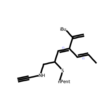 C#CNCC(/C=C(\C=C\C)C(=C)C(C)CC)SCCCCC